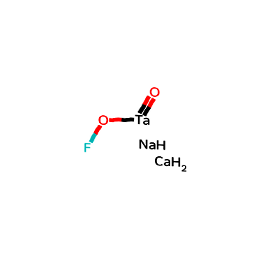 [CaH2].[NaH].[O]=[Ta][O]F